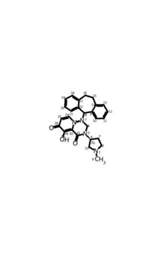 CN1CC[C@H](N2CN(C3c4ccccc4CCc4ccccc43)n3ccc(=O)c(O)c3C2=O)C1